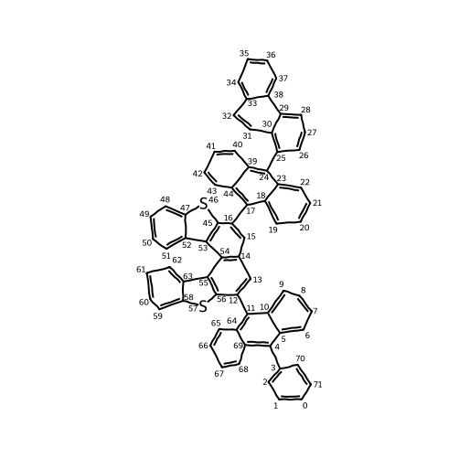 c1ccc(-c2c3ccccc3c(-c3cc4cc(-c5c6ccccc6c(-c6cccc7c6ccc6ccccc67)c6ccccc56)c5sc6ccccc6c5c4c4c3sc3ccccc34)c3ccccc23)cc1